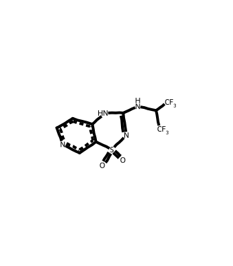 O=S1(=O)N=C(NC(C(F)(F)F)C(F)(F)F)Nc2ccncc21